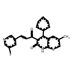 Cc1cnc2[nH]c(=O)c(C(=O)/C=C/c3cncc(F)c3)c(-c3ccccc3)c2c1